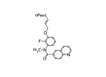 CCCCCC=CCOc1cccc(N(C)C(=O)c2ccc3ncccc3c2)c1F